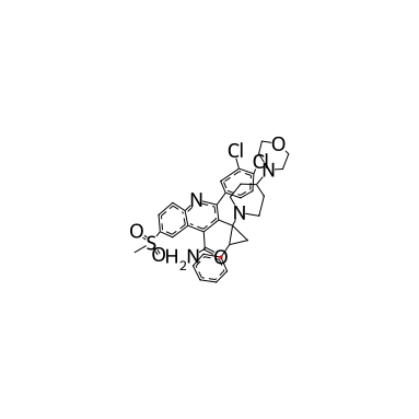 CS(=O)(=O)c1ccc2nc(-c3ccc(Cl)c(Cl)c3)c(C3(N4CCC(N5CCOCC5)CC4)CC3c3ccccc3)c(C(N)=O)c2c1